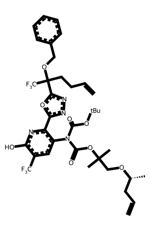 C=CCCC(OCc1ccccc1)(c1nnc(-c2nc(O)c(C(F)(F)F)cc2N(C(=O)OC(C)(C)C)C(=O)OC(C)(C)CO[C@H](C)CC=C)o1)C(F)(F)F